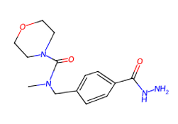 CN(Cc1ccc(C(=O)NN)cc1)C(=O)N1CCOCC1